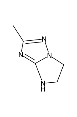 Cc1nc2n(n1)CCN2